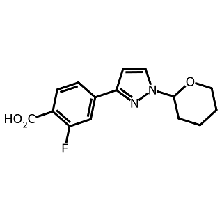 O=C(O)c1ccc(-c2ccn(C3CCCCO3)n2)cc1F